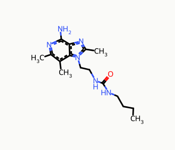 CCCCNC(=O)NCCn1c(C)nc2c(N)nc(C)c(C)c21